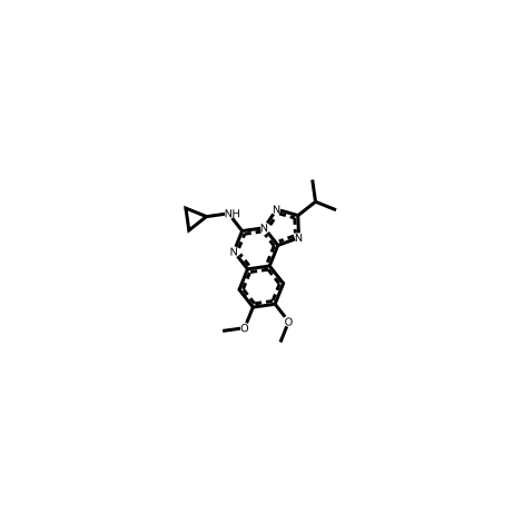 COc1cc2nc(NC3CC3)n3nc(C(C)C)nc3c2cc1OC